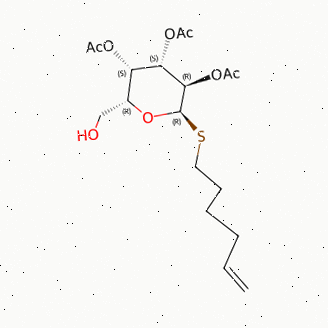 C=CCCCCS[C@H]1O[C@H](CO)[C@H](OC(C)=O)[C@H](OC(C)=O)[C@H]1OC(C)=O